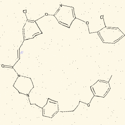 Cc1ccc(OCCc2ccc(CN3CCN(C(=O)/C=C/c4ccc(Oc5ccc(OCc6ccccc6Cl)cn5)c(Cl)c4)CC3)cc2)cc1